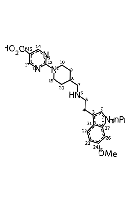 CCCn1cc(CCNCC2CCN(c3ncc(C(=O)O)cn3)CC2)c2ccc(OC)cc21